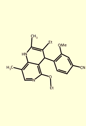 CCOc1ncc(C)c2c1C(c1ccc(C#N)cc1OC)C(CC)=C(C)N2